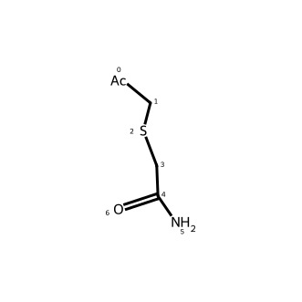 CC(=O)CSCC(N)=O